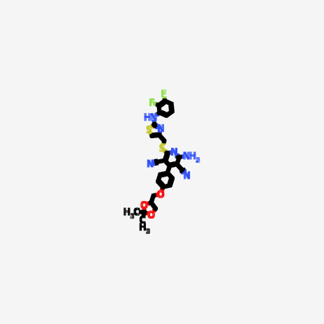 CC1(C)OCC(COc2ccc(-c3c(C#N)c(N)nc(SCc4csc(Nc5cccc(F)c5F)n4)c3C#N)cc2)O1